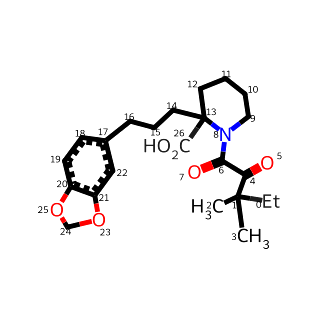 CCC(C)(C)C(=O)C(=O)N1CCCCC1(CCCc1ccc2c(c1)OCO2)C(=O)O